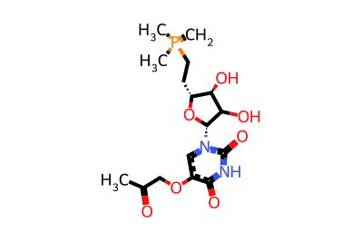 C=P(C)(C)CC[C@H]1O[C@@H](n2cc(OCC(C)=O)c(=O)[nH]c2=O)C(O)[C@@H]1O